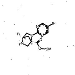 CC(C)(C)OC(=O)[C@@]12CN[C@@H](CN1c1ncc(Br)cn1)C2